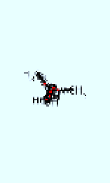 CCCCCCCCOC(=O)c1ccccc1C(=O)OCCCCCCCC.OB(O)O.[LiH]